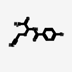 C#CCOC(NC(=O)c1ccc(Br)cc1)C(N)=O